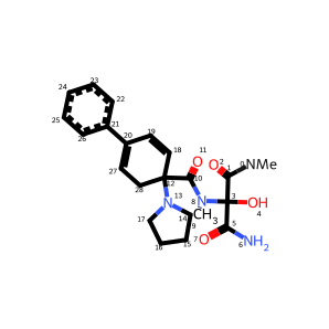 CNC(=O)C(O)(C(N)=O)N(C)C(=O)C1(N2CCCC2)C=CC(c2ccccc2)=CC1